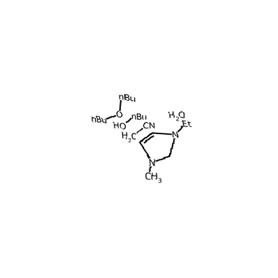 CC#N.CCCCO.CCCCOCCCC.CCN1C=CN(C)C1.O